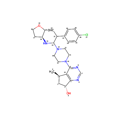 C[C@@H]1C[C@@H](O)c2ncnc(N3CCN(C(N[C@H]4CCOC4)C(C=O)c4ccc(Cl)cc4)CC3)c21